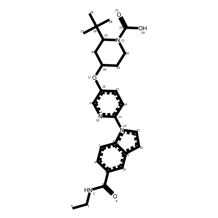 CCNC(=O)c1ccc2c(ccn2-c2ccc(OC3CCN(C(=O)O)C(C(C)(C)C)C3)cn2)c1